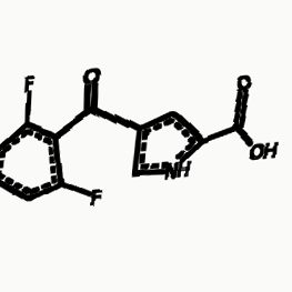 O=C(O)c1cc(C(=O)c2c(F)cccc2F)c[nH]1